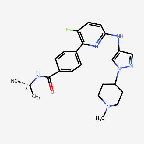 C[C@H](C#N)NC(=O)c1ccc(-c2nc(Nc3cnn(C4CCN(C)CC4)c3)ccc2F)cc1